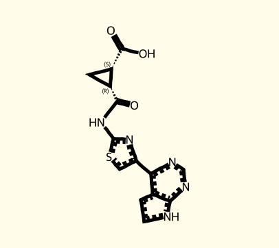 O=C(O)[C@H]1C[C@H]1C(=O)Nc1nc(-c2ncnc3[nH]ccc23)cs1